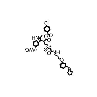 COc1ccc2[nH]c(C)c(C(CC[S+]([O-])CC(=O)NCCCOc3cccc(CN4CCCC4)c3)C(=O)OC(=O)c3ccc(Cl)cc3)c2c1